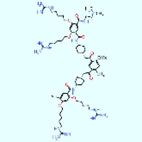 COc1cc(C)c(C(=O)C[C@H]2CC[C@@H](NC(=O)c3cc(C(C)=O)c(OCCCCCNC(=N)N)cc3OCCCCCNC(=N)N)CC2)cc1C(=O)C[C@H]1CC[C@@H](NC(=O)c2cc(C(=O)NCCN(C)C)c(OCCCCCNC(=N)N)cc2OCCCCCNC(=N)N)CC1